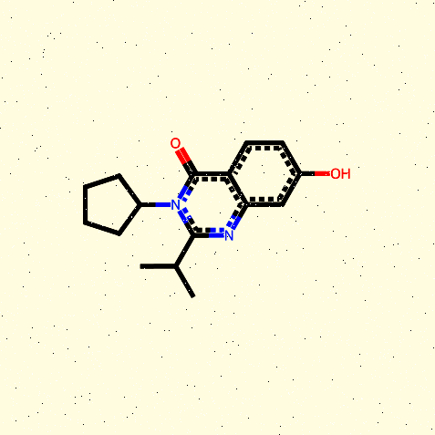 CC(C)c1nc2cc(O)ccc2c(=O)n1C1CCCC1